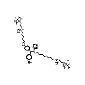 [O-][S+](CCCCCCCCCC/C(=C(\c1ccc(O)cc1)c1ccc(OCCCCC[S+]([O-])CCCC(F)(F)C(F)(F)F)cc1)c1ccccc1)CCCC(F)(F)C(F)(F)F